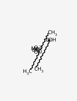 CCCCCCCCCCCCCCCCCC(=O)O.CCCCCCCCCCCCOCCCCCCCCCCCC.O=S(=O)([O-])[O-].[Mg+2]